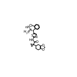 CCCN(C)[C@@H](c1cnc(NC(=O)C2(C3CCC4=C(C3)OCO4)CC2)s1)c1ccccc1Cl